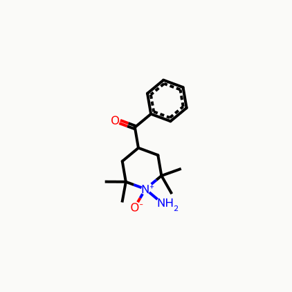 CC1(C)CC(C(=O)c2ccccc2)CC(C)(C)[N+]1(N)[O-]